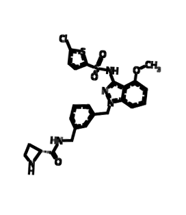 COc1cccc2c1c(NS(=O)(=O)c1ccc(Cl)s1)nn2Cc1cccc(CNC(=O)[C@H]2CCN2)c1